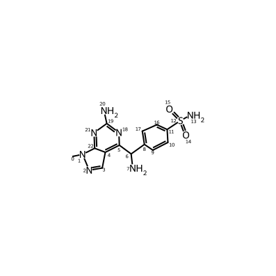 Cn1ncc2c(C(N)c3ccc(S(N)(=O)=O)cc3)nc(N)nc21